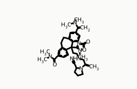 C=C(c1ccc2c(c1)CCc1cc(C(=O)N(C)C)ccc1C2(CCNCC(=C)N1CCCC1C#N)c1nc(=O)on1C)N(C)C